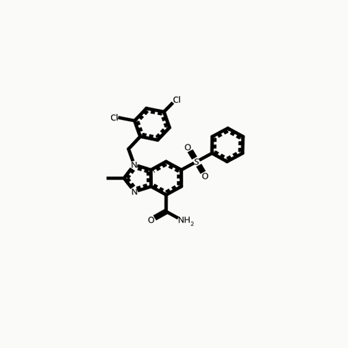 Cc1nc2c(C(N)=O)cc(S(=O)(=O)c3ccccc3)cc2n1Cc1ccc(Cl)cc1Cl